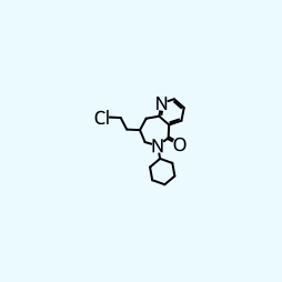 O=C1c2cccnc2CC(CCCl)CN1C1CCCCC1